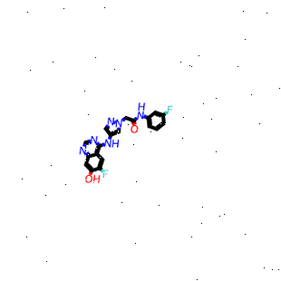 O=C(Cn1cc(Nc2ncnc3cc(O)c(F)cc23)cn1)Nc1cccc(F)c1